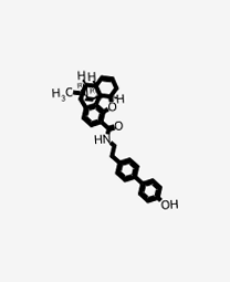 CN1CC[C@]23c4c5ccc(C(=O)NCCc6ccc(-c7ccc(O)cc7)cc6)c4O[C@@H]2CC=C[C@H]3[C@H]1C5